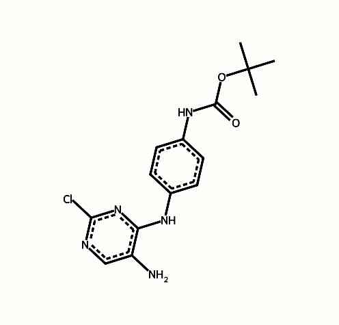 CC(C)(C)OC(=O)Nc1ccc(Nc2nc(Cl)ncc2N)cc1